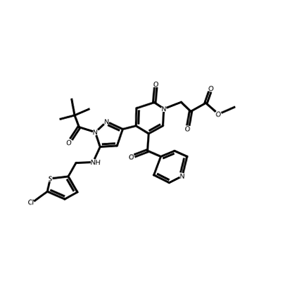 COC(=O)C(=O)Cn1cc(C(=O)c2ccncc2)c(-c2cc(NCc3ccc(Cl)s3)n(C(=O)C(C)(C)C)n2)cc1=O